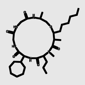 CCCCCCC1OCC(C)NC(=O)CNC(=O)CNC(=O)C(C2CCCCCC2)NC(=O)C(CCC)N(C)C(=O)C1C